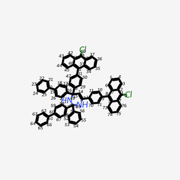 Clc1c2ccccc2c(-c2ccc(C3=CC(c4ccc(-c5ccccc5)cc4)(c4ccc(-c5c6ccccc6c(Cl)c6ccccc56)cc4)NC(c4ccccc4)(c4ccc(-c5ccccc5)cc4)N3)cc2)c2ccccc12